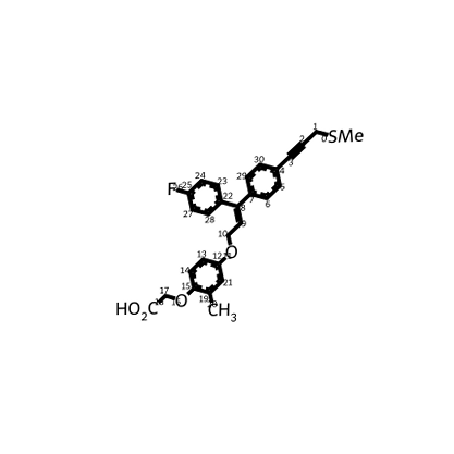 CSCC#Cc1ccc(/C(=C/COc2ccc(OCC(=O)O)c(C)c2)c2ccc(F)cc2)cc1